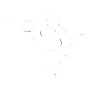 COc1ccc2c(C3=NC(Nc4cc(N)c(N(C)CCN(C)C)cc4OC)=NCC3C(F)(F)F)cn(C)c2c1